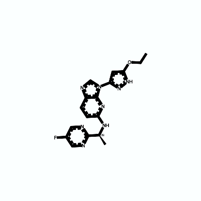 CCOc1cc(-n2cnc3ccc(N[C@@H](C)c4ncc(F)cn4)nc32)n[nH]1